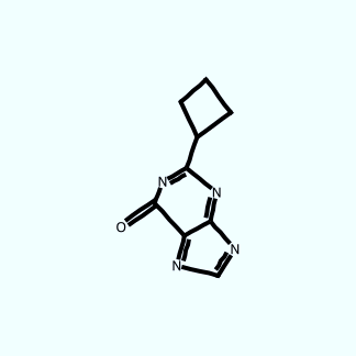 O=C1N=C(C2CCC2)N=C2N=CN=C12